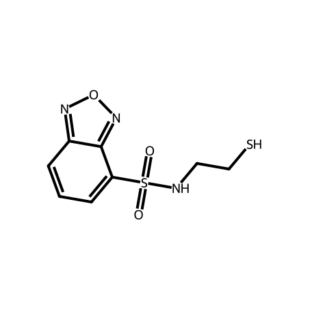 O=S(=O)(NCCS)c1cccc2nonc12